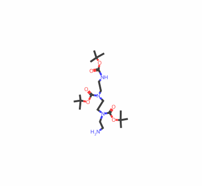 CC(C)(C)OC(=O)NCCN(CCN(CCN)C(=O)OC(C)(C)C)C(=O)OC(C)(C)C